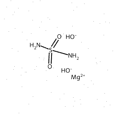 NS(N)(=O)=O.[Mg+2].[OH-].[OH-]